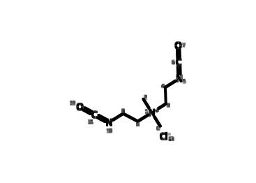 C[N+](C)(CCN=C=O)CCN=C=O.[Cl-]